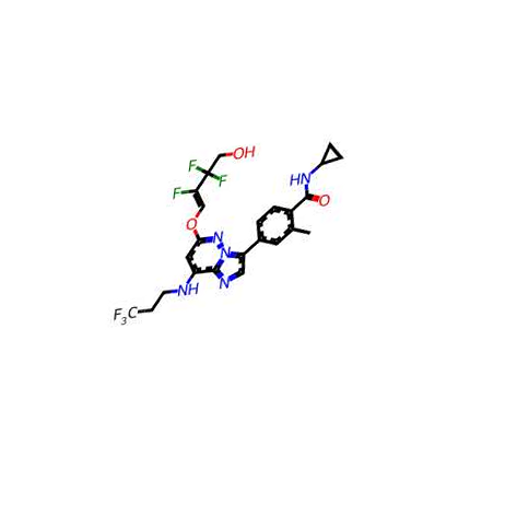 Cc1cc(-c2cnc3c(NCCC(F)(F)F)cc(OC=C(F)C(F)(F)CO)nn23)ccc1C(=O)NC1CC1